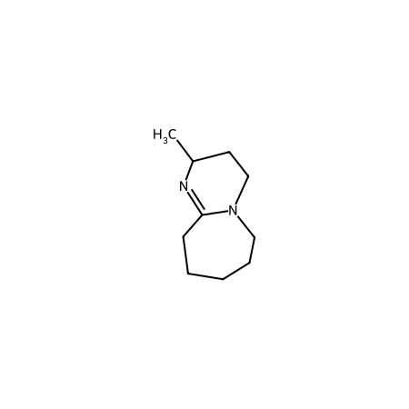 CC1CCN2CCCCCC2=N1